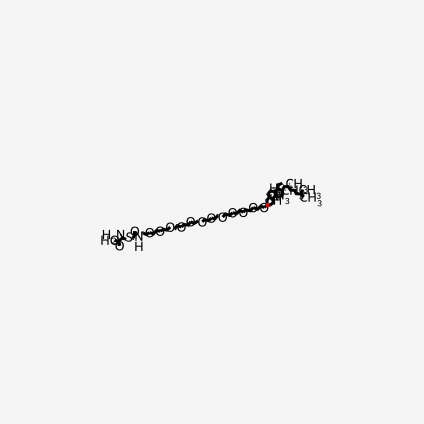 CC(C)CCC[C@@H](C)[C@H]1CC[C@H]2[C@@H]3CC=C4CC(OCCOCCOCCOCCOCCOCCOCCOCCOCCOCCOCCOCCNC(=O)CSC[C@H](N)C(=O)O)CC[C@]4(C)[C@H]3CC[C@]12C